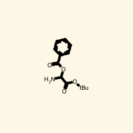 CC(C)(C)OC(=O)C(N)OC(=O)c1ccccc1